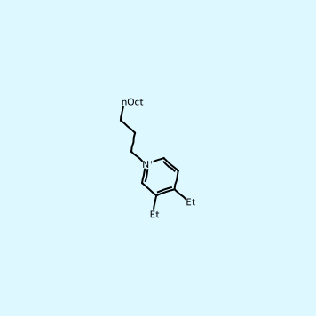 CCCCCCCCCCC[n+]1ccc(CC)c(CC)c1